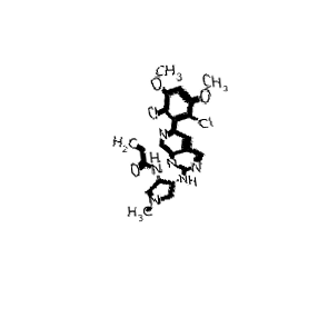 C=CC(=O)N[C@H]1CN(C)C[C@H]1Nc1ncc2cc(-c3c(Cl)c(OC)cc(OC)c3Cl)ncc2n1